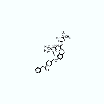 CC(C)(C)OC(=O)/N=C(\NC(=O)OC(C)(C)C)N1CCc2ccc(OCC3CCN(C(=N)Cc4ccccc4)CC3)cc2C1